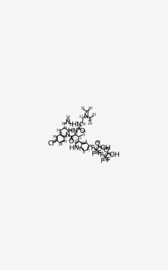 CC(c1c[nH]c2ccccc12)C(NC(=O)NCCN(C(C)C)C(C)C)C(=O)N1C[C@@H](CN(C)C)Cc2cc(Cl)ccc21.O=C(O)C(F)(F)F.O=C(O)C(F)(F)F